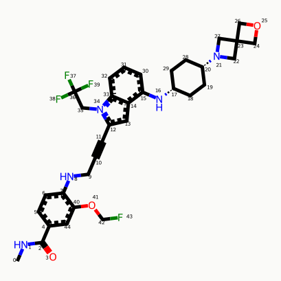 CNC(=O)c1ccc(NCC#Cc2cc3c(N[C@H]4CC[C@@H](N5CC6(COC6)C5)CC4)cccc3n2CC(F)(F)F)c(OCF)c1